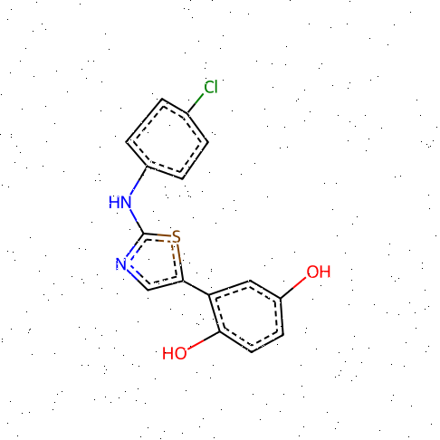 Oc1ccc(O)c(-c2cnc(Nc3ccc(Cl)cc3)s2)c1